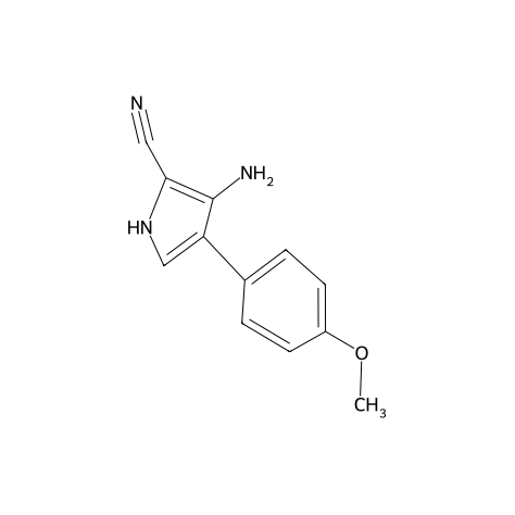 COc1ccc(-c2c[nH]c(C#N)c2N)cc1